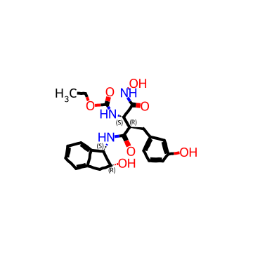 CCOC(=O)N[C@H](C(=O)NO)[C@@H](Cc1cccc(O)c1)C(=O)N[C@H]1c2ccccc2C[C@H]1O